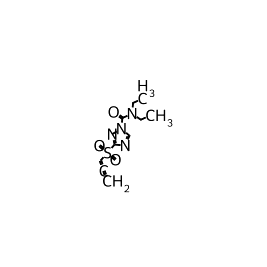 C=C=CS(=O)(=O)c1ncn(C(=O)N(CC)CC)n1